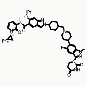 CC(C)Oc1cc2nn(C3CCC(CN4CCC(c5cc6c(cc5F)c(N5CCC(=O)NC5=O)nn6C)CC4)CC3)cc2cc1C(=O)Nc1cccn([C@H]2C[C@H]2F)c1=O